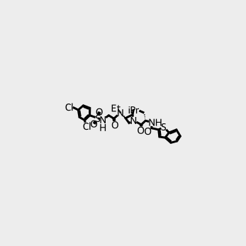 CCN(C(=O)CNS(=O)(=O)c1ccc(Cl)cc1Cl)[C@@H]1CN(C(=O)[C@H](CC(C)C)NC(=O)c2cc3ccccc3s2)C1C